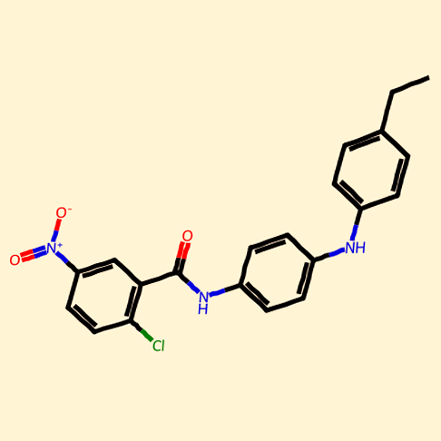 CCc1ccc(Nc2ccc(NC(=O)c3cc([N+](=O)[O-])ccc3Cl)cc2)cc1